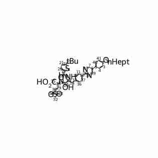 CCCCCCCOc1ccc(-c2cnc(-c3ccc(C[C@H](NC(=O)c4ccc(C(C)(C)C)s4)C(O)NC(CCS(C)(=O)=O)C(=O)O)cc3)nc2)cc1